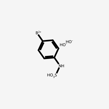 [B+2]c1ccc(NS(=O)(=O)O)cc1.[OH-].[OH-]